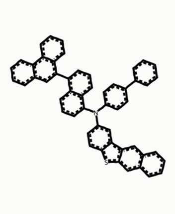 c1ccc(-c2ccc(N(c3ccc4sc5cc6ccccc6cc5c4c3)c3cccc4c(-c5cc6ccccc6c6ccccc56)cccc34)cc2)cc1